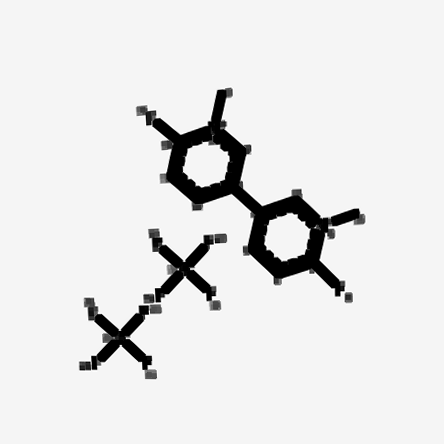 C[n+]1cc(-c2ccc(F)[n+](C)c2)ccc1F.F[B-](F)(F)F.F[B-](F)(F)F